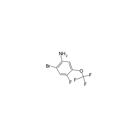 Nc1cc(OC(F)(F)F)c(F)cc1Br